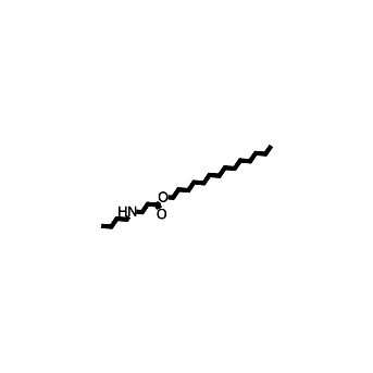 CCCCCCCCCCCCCCOC(=O)CCNCCCC